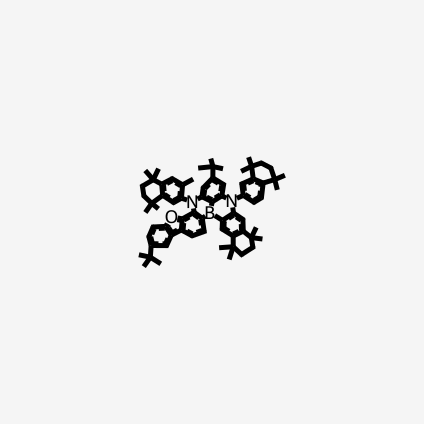 Cc1cc2c(cc1N1c3cc(C(C)(C)C)cc4c3B(c3cc5c(cc3N4c3ccc4c(c3)C(C)(C)CCC4(C)C)C(C)(C)CCC5(C)C)c3ccc4c(oc5ccc(C(C)(C)C)cc54)c31)C(C)(C)CCC2(C)C